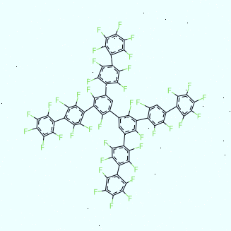 Fc1cc(-c2c(F)c(F)c(F)c(F)c2F)c(F)c(F)c1-c1c(F)c(-c2cc(-c3c(F)c(F)c(-c4c(F)c(F)c(F)c(F)c4F)c(F)c3F)c(F)c(-c3c(F)c(F)c(-c4c(F)c(F)c(F)c(F)c4F)c(F)c3F)c2F)cc(-c2c(F)c(F)c(-c3c(F)c(F)c(F)c(F)c3F)c(F)c2F)c1F